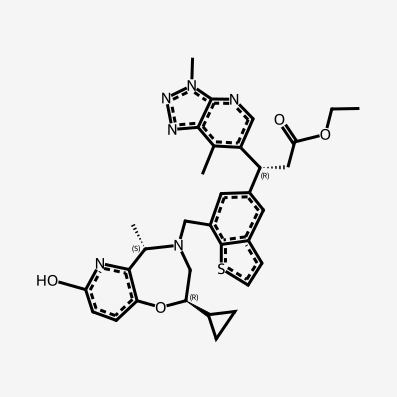 CCOC(=O)C[C@H](c1cc(CN2C[C@@H](C3CC3)Oc3ccc(O)nc3[C@@H]2C)c2sccc2c1)c1cnc2c(nnn2C)c1C